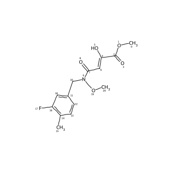 COC(=O)C(O)=CC(=O)N(Cc1ccc(C)c(F)c1)OC